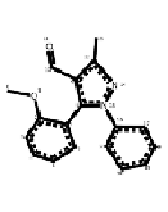 COc1ccccc1-c1c(C=O)c(C)nn1-c1ccccc1